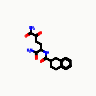 NC(=O)C(=O)CCC(NC(=O)C1CCc2ccccc2C1)C(N)=O